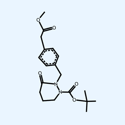 COC(=O)Cc1ccc(CN2C(=O)CCCN2C(=O)OC(C)(C)C)cc1